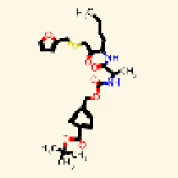 CCCCC(NC(=O)C(C)NC(=O)OCc1ccc(C(=O)OC(C)(C)C)cc1)C(=O)CSCc1ccco1